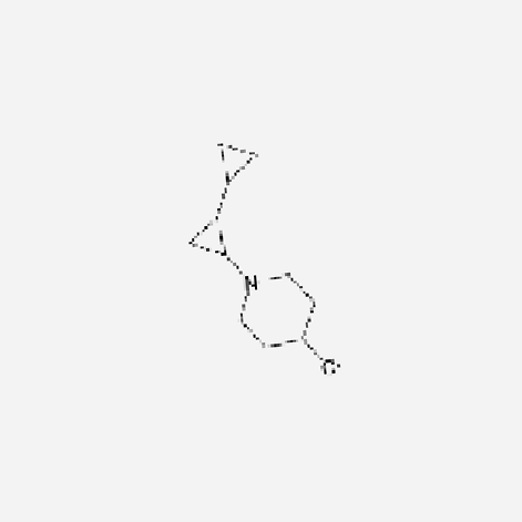 [O]C1CCN(C2CC2C2CC2)CC1